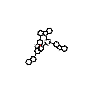 c1ccc(-c2nc(-c3ccc4c(c3)sc3ccccc34)nc(-n3c4ccccc4c4cccc(-c5ccc6c(c5)oc5cc(-c7ccc8ccccc8c7)ccc56)c43)n2)cc1